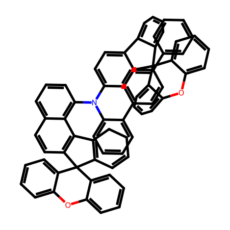 C1=CC2=C(CC1)c1c(ccc3cccc(N(c4ccc5c(c4)C4(c6ccccc6Oc6ccccc64)c4ccccc4-5)c4ccccc4-c4ccc(-c5ccccc5)cc4)c13)C21c2ccccc2Oc2ccccc21